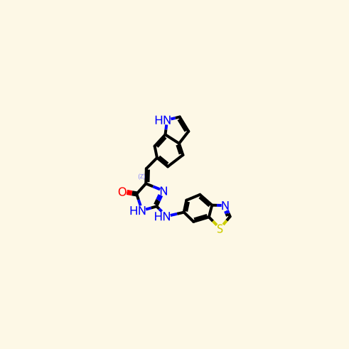 O=C1NC(Nc2ccc3ncsc3c2)=N/C1=C\c1ccc2cc[nH]c2c1